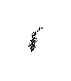 CCCCCCCOc1ccc(-c2ccc(-c3cc(C)c4cc(F)ccc4n3)cc2F)cc1